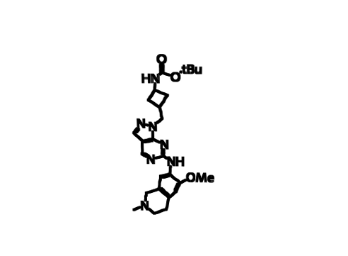 COc1cc2c(cc1Nc1ncc3cnn(CC4CC(NC(=O)OC(C)(C)C)C4)c3n1)CN(C)CC2